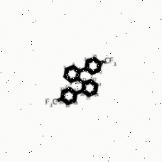 FC(F)(F)c1ccc(-c2ccccc2-c2ccccc2-c2ccc(C(F)(F)F)cc2)cc1